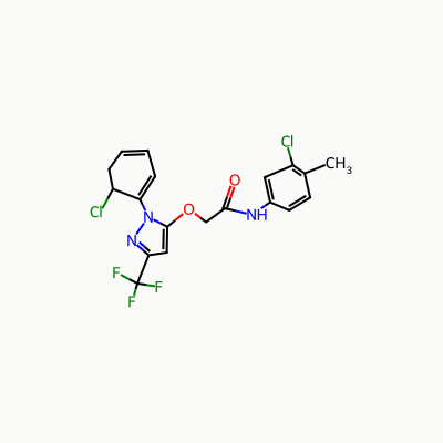 Cc1ccc(NC(=O)COc2cc(C(F)(F)F)nn2C2=CC=CCC2Cl)cc1Cl